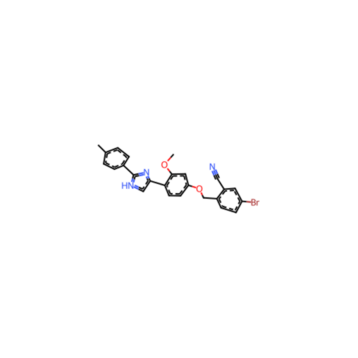 COc1cc(OCc2ccc(Br)cc2C#N)ccc1-c1c[nH]c(-c2ccc(C)cc2)n1